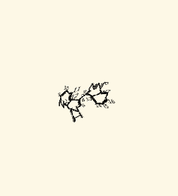 Cn1nc(-c2c[nH]c3ncccc23)c2cc[c]cc21